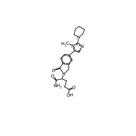 Cn1c(-c2ccc3c(c2)CN(C(CCC(=O)O)C(N)=O)C3=O)cnc1N1CCCCC1